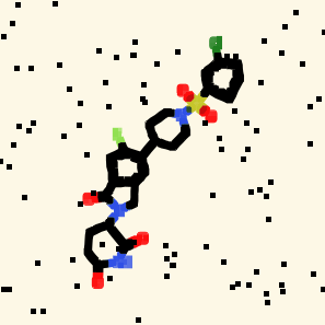 O=C1CCC(N2Cc3cc(C4CCN(S(=O)(=O)c5cccc(Cl)c5)CC4)c(F)cc3C2=O)C(=O)N1